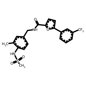 Cc1cc(CNC(=O)c2ccc(-c3cccc(C(F)(F)F)c3)o2)ccc1NS(C)(=O)=O